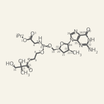 CC(C)OC(=O)CN[P@](OCCSC(=O)C(C)(C)CO)OC[C@@H]1C[C@H](C)[C@H](n2cnc3c(=O)[nH]c(N)nc32)O1